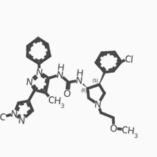 COCCN1C[C@H](NC(=O)Nc2c(C)c(-c3cnn(C)c3)nn2-c2ccccc2)[C@@H](c2cccc(Cl)c2)C1